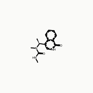 CNC(=O)N(C)[C@@H](C)c1c[nH]c(=O)c2ccccc12